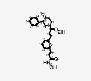 CCN1CCN(C(=O)C=Cc2cccc(C=CC(=O)NO)n2)CC1c1ccccc1.Cl